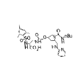 CCCCNC(=O)N1CC(OCC(=O)NCC(NS(=O)(=O)c2c(C)cc(C)cc2C)C(=O)O)CC1CNc1ccccn1